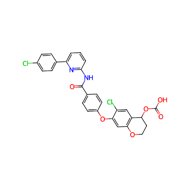 O=C(O)OC1CCOc2cc(Oc3ccc(C(=O)Nc4cccc(-c5ccc(Cl)cc5)n4)cc3)c(Cl)cc21